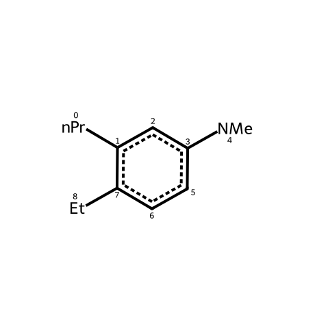 CCCc1cc(NC)ccc1CC